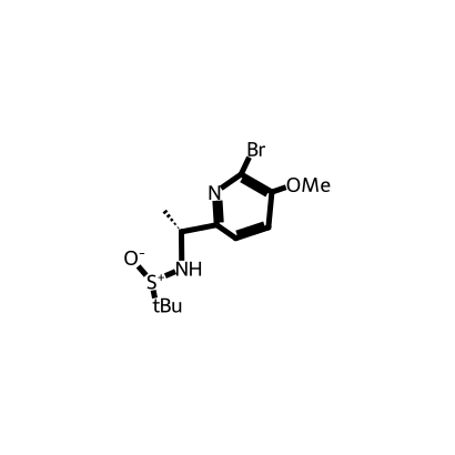 COc1ccc([C@@H](C)N[S+]([O-])C(C)(C)C)nc1Br